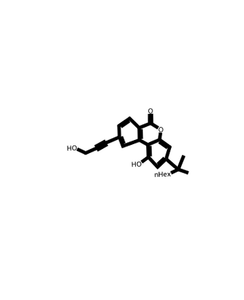 CCCCCCC(C)(C)c1cc(O)c2c(c1)oc(=O)c1ccc(C#CCO)cc12